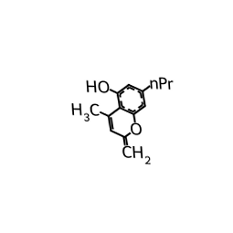 C=C1C=C(C)c2c(O)cc(CCC)cc2O1